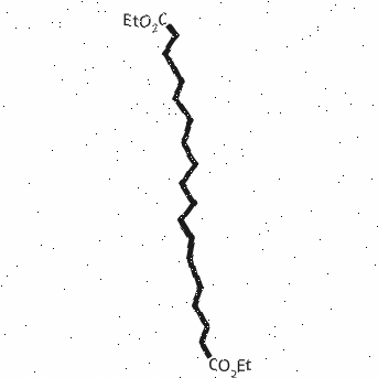 CCOC(=O)CCCCCCCCCCCCCCCCC(=O)OCC